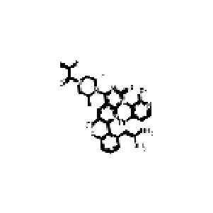 BC(B)=Cc1cccc(F)c1-c1nc2c(cc1Cl)c(N1[C@@H](C)CN(C(=O)C(=C)F)C[C@@H]1C)nc(=O)n2-c1c(C(C)C)ccnc1C(C)C